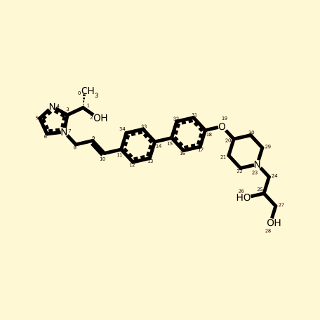 C[C@H](O)c1nccn1C/C=C/c1ccc(-c2ccc(OC3CCN(CC(O)CO)CC3)cc2)cc1